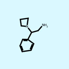 NCC(c1ccccc1)N1CCC1